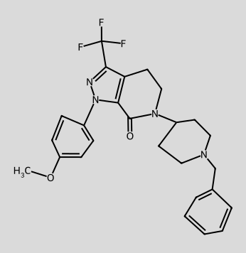 COc1ccc(-n2nc(C(F)(F)F)c3c2C(=O)N(C2CCN(Cc4ccccc4)CC2)CC3)cc1